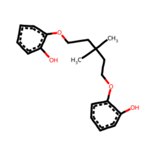 CC(C)(CCOc1ccccc1O)CCOc1ccccc1O